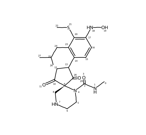 CNC(=O)N1CCNC[C@]12C(=O)CC(c1ccc(NO)c(SC)c1CC(C)C)C2=O